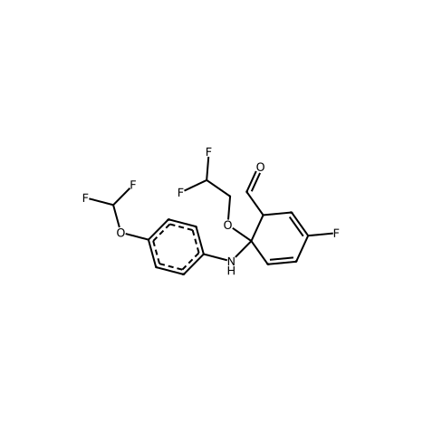 O=CC1C=C(F)C=CC1(Nc1ccc(OC(F)F)cc1)OCC(F)F